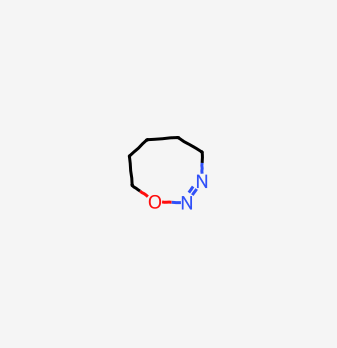 C1CC/N=N\OCC1